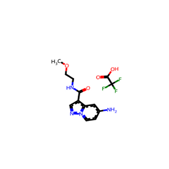 COCCNC(=O)c1cnn2ccc(N)cc12.O=C(O)C(F)(F)F